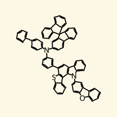 c1ccc(-c2ccc(N(c3cccc(-c4cc5c6ccccc6n(-c6ccc7oc8ccccc8c7c6)c5c5c4sc4ccccc45)c3)c3ccc4c(c3)C3(c5ccccc5-c5ccccc53)c3ccccc3-4)cc2)cc1